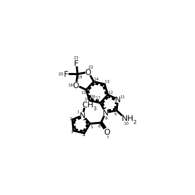 Cn1cccc1C(=O)n1c(N)nc2cc3c(cc21)OC(F)(F)O3